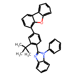 CC(C)(C)c1cc(-c2cccc3c2oc2ccccc23)ccc1-c1nc2ccccc2n1-c1ccccc1